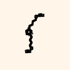 CC(C)(C)OCCCCn1cc[n+](CCCCOC(C)(C)C)c1